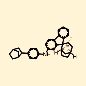 C[C@@H]1C[C@@H]2CC[C@@H](C2)C12c1ccccc1-c1ccc(Nc3ccc(C4CC5CCC4C5)cc3)cc12